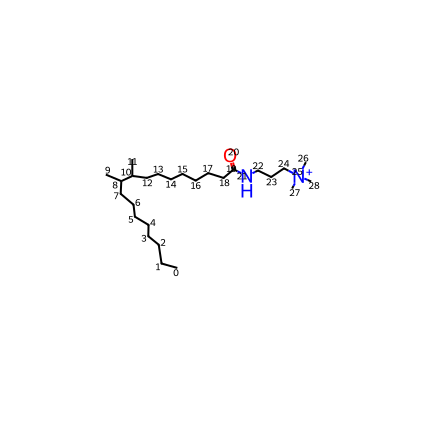 CCCCCCCCC(C)C(C)CCCCCCCC(=O)NCCC[N+](C)(C)C